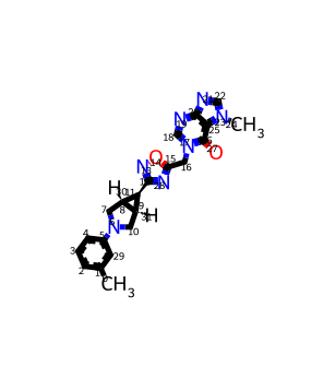 Cc1cccc(N2C[C@@H]3[C@H](C2)[C@@H]3c2noc(Cn3cnc4ncn(C)c4c3=O)n2)c1